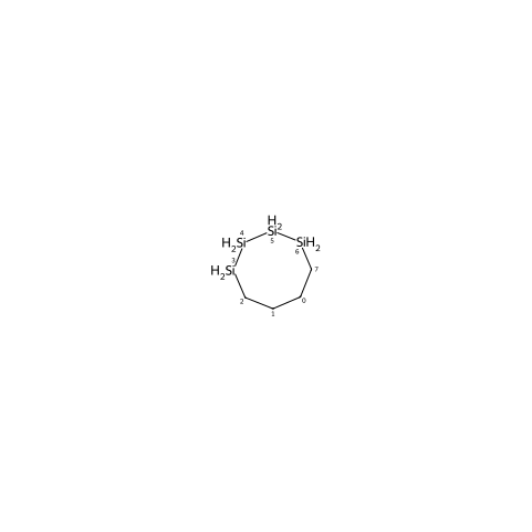 C1CC[SiH2][SiH2][SiH2][SiH2]C1